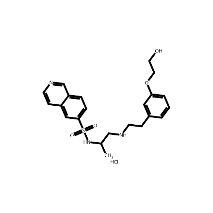 CC(CNCCc1cccc(OCCO)c1)NS(=O)(=O)c1ccc2cnccc2c1.Cl